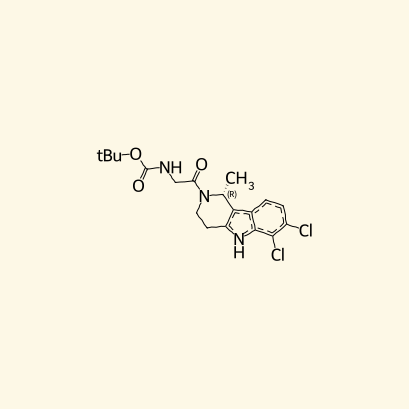 C[C@@H]1c2c([nH]c3c(Cl)c(Cl)ccc23)CCN1C(=O)CNC(=O)OC(C)(C)C